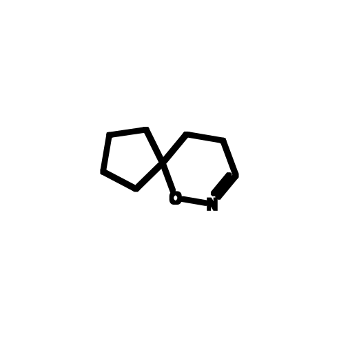 C1=NOC2(CC1)CCCC2